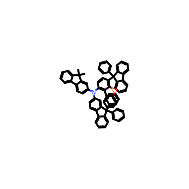 CC1(C)c2ccccc2-c2ccc(N(c3ccc4c(c3)C(c3ccccc3)(c3ccccc3)c3ccccc3-4)c3ccc(C4(c5ccccc5)c5ccccc5-c5ccccc54)c4oc5ccccc5c34)cc21